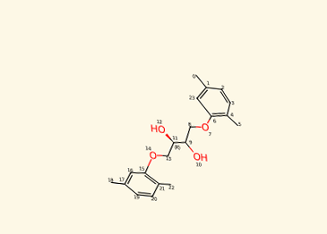 Cc1ccc(C)c(OCC(O)[C@H](O)COc2cc(C)ccc2C)c1